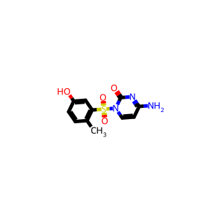 Cc1ccc(O)cc1S(=O)(=O)n1ccc(N)nc1=O